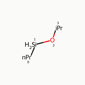 [CH2]CC[SiH2]OC(C)C